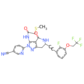 CSCC(=O)Nc1c2c(nn1-c1ccc(C#N)cn1)CC(CCc1cccc(OCC(F)(F)F)c1F)NC2=O